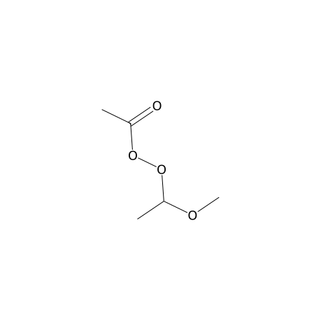 COC(C)OOC(C)=O